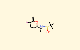 C=C1OC(C(C)N[S+]([O-])C(C)(C)C)CCC1I